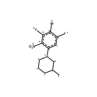 CC1CCCN(c2cc(F)c(Br)c(F)c2[N+](=O)[O-])C1